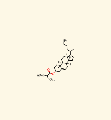 CCCCCCCCCCC(CCCCCCCC)C(=O)O[C@H]1CC[C@@]2(C)C(=CC[C@H]3[C@@H]4CC[C@H]([C@H](C)CCCC(C)C)[C@@]4(C)CC[C@@H]32)C1